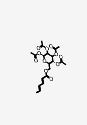 C/C=C/C=C/C(=O)OCC1O[C@@H](OC(C)=O)C(OC(C)=O)C(OC(C)=O)[C@@H]1OC(C)=O